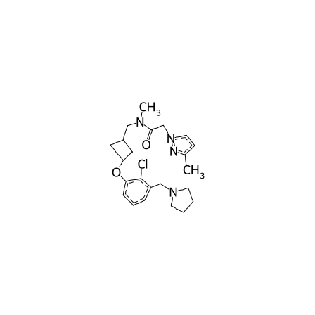 Cc1ccn(CC(=O)N(C)CC2CC(Oc3cccc(CN4CCCC4)c3Cl)C2)n1